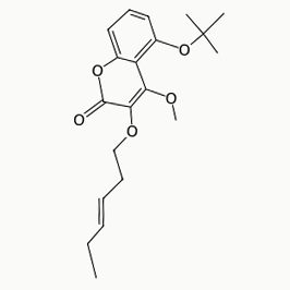 CCC=CCCOc1c(OC)c2c(OC(C)(C)C)cccc2oc1=O